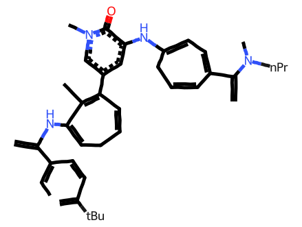 C=C(NC1=CCC=CC(c2cc(NC3=CC=C(C(=C)N(C)CCC)C=CC3)c(=O)n(C)c2)=C1C)C(/C=C\C(=C)C(C)(C)C)=C/C